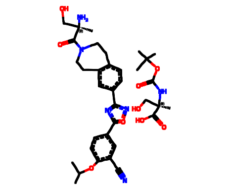 CC(C)(C)OC(=O)N[C@](C)(CO)C(=O)O.CC(C)Oc1ccc(-c2nc(-c3ccc4c(c3)CCN(C(=O)[C@](C)(N)CO)CC4)no2)cc1C#N